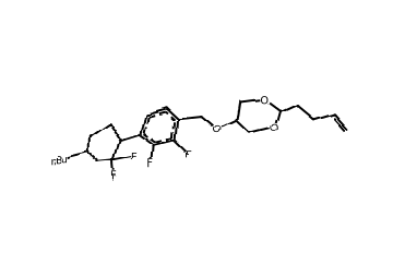 C=CCCC1OCC(OCc2ccc(C3CCC(CCCC)CC3(F)F)c(F)c2F)CO1